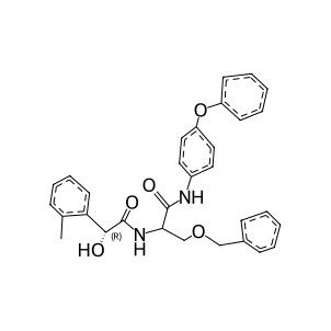 Cc1ccccc1[C@@H](O)C(=O)NC(COCc1ccccc1)C(=O)Nc1ccc(Oc2ccccc2)cc1